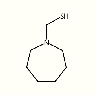 SCN1CCCCCC1